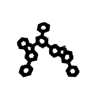 c1ccc(-c2ccc3oc4cc(-c5nc(-c6ccccc6)nc(-n6c7ccccc7c7cc(-c8ccccc8)ccc76)n5)ccc4c3c2)cc1